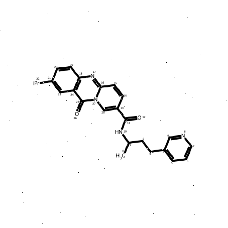 CC(CCc1cccnc1)NC(=O)c1ccc2nc3ccc(C(C)C)cc3c(=O)n2c1